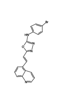 Brc1ccc(Nc2nnc(/C=C/c3cccc4ncccc34)o2)cc1